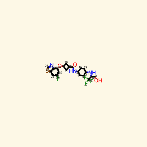 O=C(NC1CCC(NC(CO)C(F)(F)F)CC1)C1CC(Oc2cc(F)cc3scnc23)C1